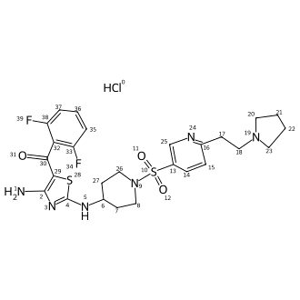 Cl.Nc1nc(NC2CCN(S(=O)(=O)c3ccc(CCN4CCCC4)nc3)CC2)sc1C(=O)c1c(F)cccc1F